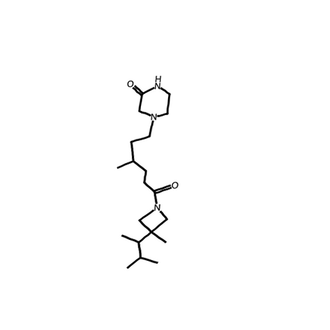 CC(CCC(=O)N1CC(C)(C(C)C(C)C)C1)CCN1CCNC(=O)C1